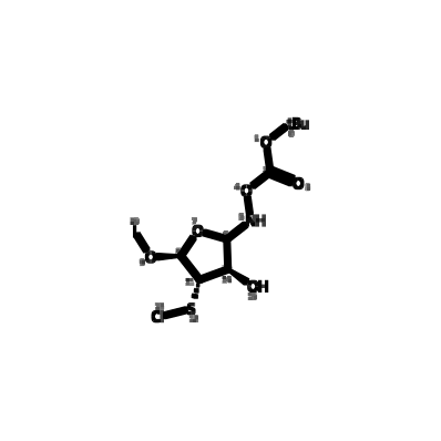 CC(C)(C)OC(=O)ONC1O[C@H](OI)[C@@H](SCl)[C@@H]1O